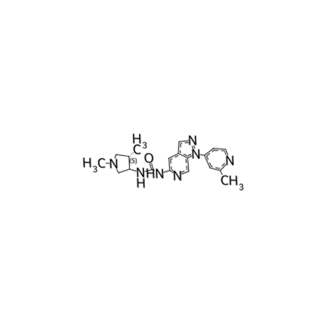 Cc1cc(-n2ncc3cc(NC(=O)NC4CN(C)C[C@@H]4C)ncc32)ccn1